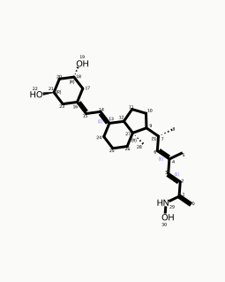 C=C(/C=C/C(C)=C/[C@@H](C)C1CCC2/C(=C/C=C3C[C@@H](O)C[C@H](O)C3)CCC[C@@]21C)NO